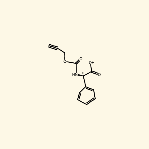 C#CCOC(=O)N[C@@H](C(=O)O)c1ccccc1